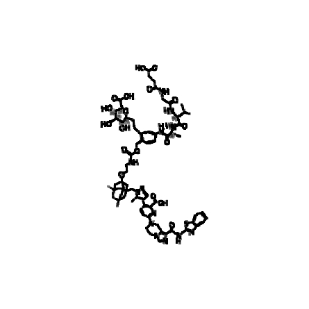 Cc1c(-c2ccc(N3CCn4cnc(C(=O)Nc5nc6ccccc6s5)c4C3)nc2C(=O)O)cnn1CC12CC3(C)CC(C)(C1)CC(OCCNC(=O)OCc1ccc(NC(=O)[C@H](C)NC(=O)[C@@H](NC(=O)CNC(=O)CCC(=O)O)C(C)C)cc1CC[C@@H]1O[C@H](C(=O)O)[C@@H](O)[C@H](O)[C@H]1O)(C3)C2